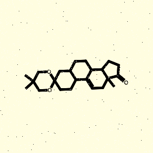 CC1(C)COC2(CCC3C4=CCC5(C)C(=O)CCC5C4CCC3C2)OC1